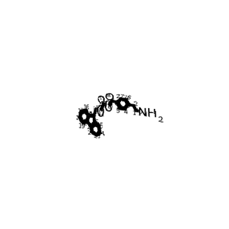 NCCc1ccc(C(=O)OC(=O)OCC2c3ccccc3-c3ccccc32)cc1